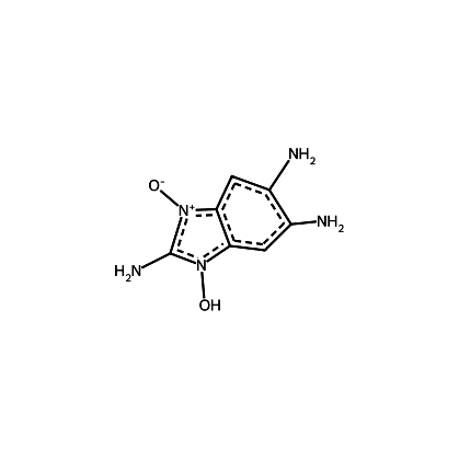 Nc1cc2c(cc1N)[n+]([O-])c(N)n2O